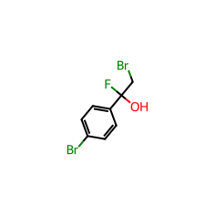 OC(F)(CBr)c1ccc(Br)cc1